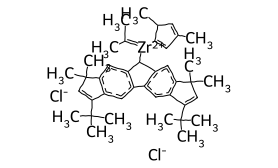 CC1=CC(C)[C]([Zr+2](=[C](C)C)[CH]2c3cc4c(cc3-c3cc5c(cc32)C(C)(C)C=C5C(C)(C)C)C(C(C)(C)C)=CC4(C)C)=C1.[Cl-].[Cl-]